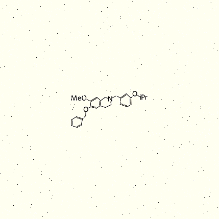 COc1cc2c(cc1OCc1ccccc1)CCN(Cc1cccc(OC(C)C)c1)C2